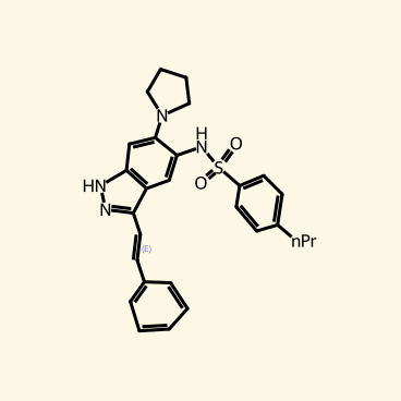 CCCc1ccc(S(=O)(=O)Nc2cc3c(/C=C/c4ccccc4)n[nH]c3cc2N2CCCC2)cc1